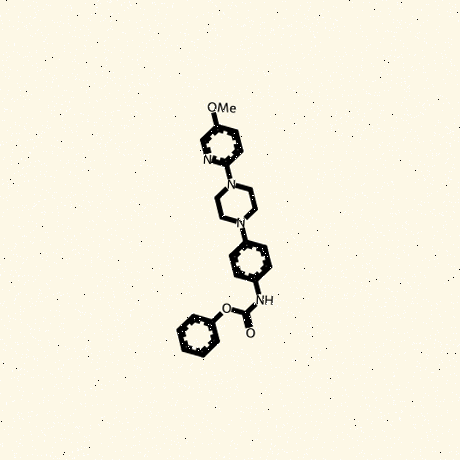 COc1ccc(N2CCN(c3ccc(NC(=O)Oc4ccccc4)cc3)CC2)nc1